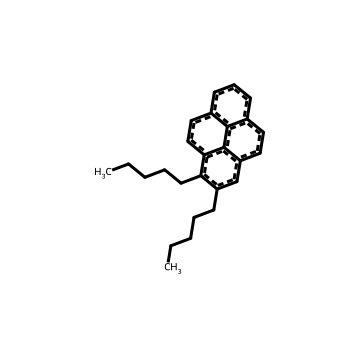 CCCCCc1cc2ccc3cccc4ccc(c1CCCCC)c2c34